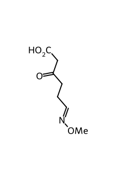 CON=CCCC(=O)CC(=O)O